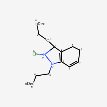 CCCCCCCCCCCCC1C2=C(C=CCC2)N(CCCCCCCCCCCC)N1Cl